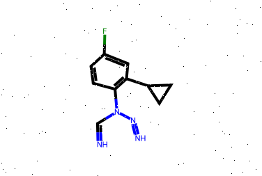 N=CN(N=N)c1ccc(F)cc1C1CC1